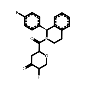 O=C1CC(C(=O)N2CCc3ccccc3[C@@H]2c2ccc(F)cc2)OCC1F